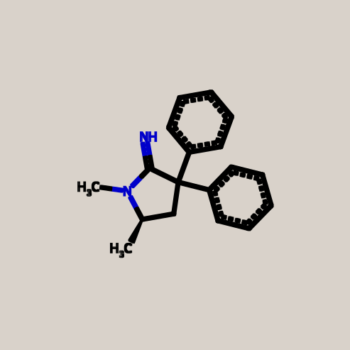 C[C@@H]1CC(c2ccccc2)(c2ccccc2)C(=N)N1C